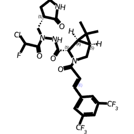 CC1(C)[C@@H]2[C@@H](C(=O)NN(C[C@@H]3CCNC3=O)C(=O)C(F)Cl)N(C(=O)/C=C/c3cc(C(F)(F)F)cc(C(F)(F)F)c3)C[C@@H]21